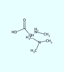 CN.CN(C)C.O=C(O)O